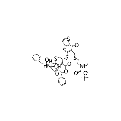 CC(C)(C)OC(=O)NCCSCc1c(SC2=C(C(=O)OC(c3ccccc3)c3ccccc3)N3C(=O)C(NC(=O)Cc4ccccc4)[C@H]3SC2)sc2ccsc2c1=O